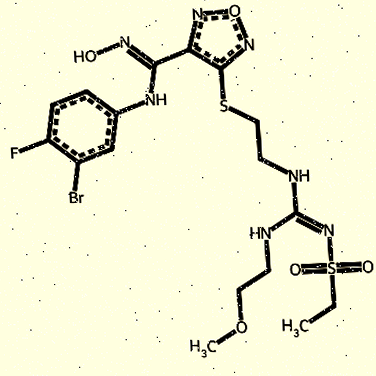 CCS(=O)(=O)/N=C(\NCCOC)NCCSc1nonc1/C(=N/O)Nc1ccc(F)c(Br)c1